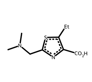 CCc1sc(CN(C)C)nc1C(=O)O